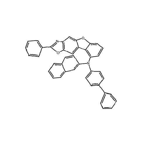 c1ccc(-c2ccc(N(c3ccc4ccccc4c3)c3cccc4oc5cc6nc(-c7ccccc7)oc6cc5c34)cc2)cc1